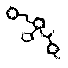 Cc1ccc(C(=O)Nc2cccc(/C=C/c3ccccc3)c2C2=CCCN2)cc1